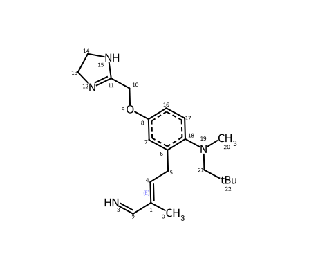 C/C(C=N)=C\Cc1cc(OCC2=NCCN2)ccc1N(C)CC(C)(C)C